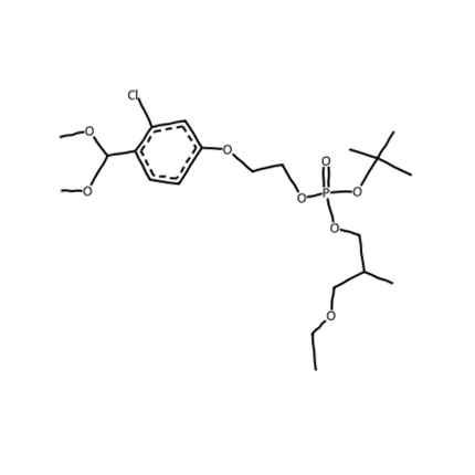 CCOCC(C)COP(=O)(OCCOc1ccc(C(OC)OC)c(Cl)c1)OC(C)(C)C